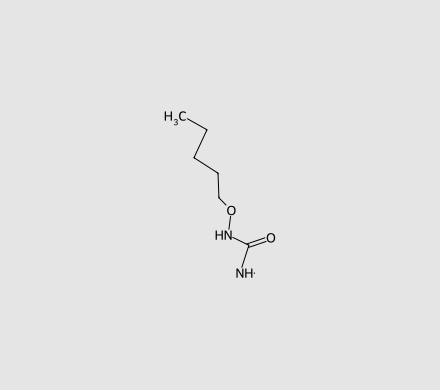 CCCCCONC([NH])=O